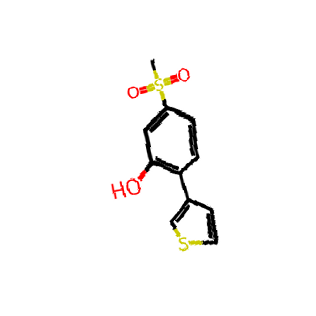 CS(=O)(=O)c1ccc(-c2ccsc2)c(O)c1